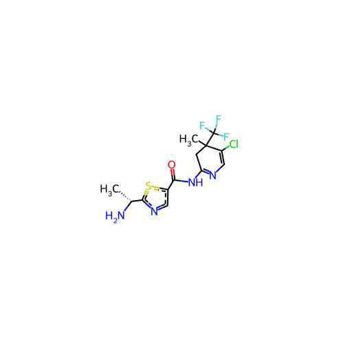 C[C@@H](N)c1ncc(C(=O)NC2=NC=C(Cl)C(C)(C(F)(F)F)C2)s1